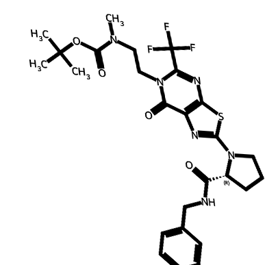 CN(CCn1c(C(F)(F)F)nc2sc(N3CCC[C@@H]3C(=O)NCc3ccccc3)nc2c1=O)C(=O)OC(C)(C)C